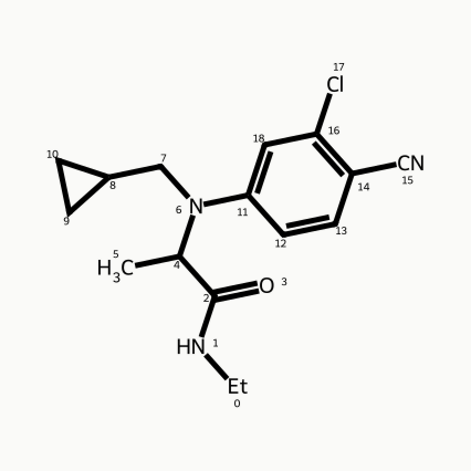 CCNC(=O)C(C)N(CC1CC1)c1ccc(C#N)c(Cl)c1